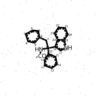 O=C(O)NC(Cc1ccccc1)(c1ccccc1)c1c[nH]c2ccccc12